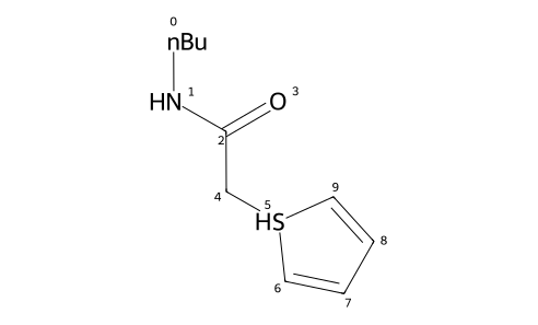 CCCCNC(=O)C[SH]1C=CC=C1